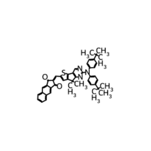 CC(C)(C)c1ccc(N(c2ccc(C(C)(C)C)cc2)c2ncc3c(n2)C(C)(C)c2cc(C=C4C(=O)c5cc6ccccc6cc5C4=O)sc2-3)cc1